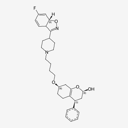 O[C@H]1C[C@@H](c2ccccc2)C2=C(C[C@H](OCCCCN3CCC(C4=NO[C@H]5C=C(F)C=CC45)CC3)CC2)O1